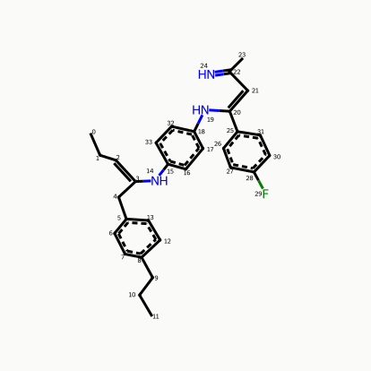 CC/C=C(\Cc1ccc(CCC)cc1)Nc1ccc(N/C(=C\C(C)=N)c2ccc(F)cc2)cc1